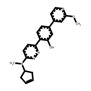 COc1cc(-c2ccc(-c3ccc(N(C)C4CC=CC4)nn3)c(O)c2)ccn1